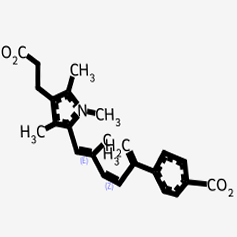 C=C(/C=C\C(C)=C\c1c(C)c(CCC(=O)O)c(C)n1C)c1ccc(C(=O)O)cc1